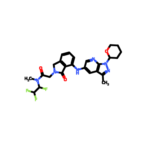 Cc1nn(C2CCCCO2)c2ncc(Nc3cccc4c3C(=O)N(CC(=O)N(C)C(F)C(F)F)C4)cc12